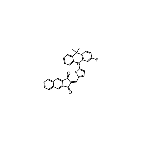 CC1(C)c2ccccc2N(c2ccc(C=C3C(=O)c4cc5ccccc5cc4C3=O)s2)c2cc(F)ccc21